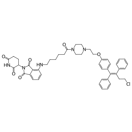 O=C1CCC(N2C(=O)c3cccc(NCCCCCC(=O)N4CCN(CCOc5ccc(C(=C(CCCl)c6ccccc6)c6ccccc6)cc5)CC4)c3C2=O)C(=O)N1